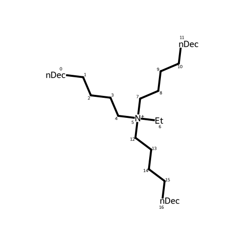 CCCCCCCCCCCCCC[N+](CC)(CCCCCCCCCCCCCC)CCCCCCCCCCCCCC